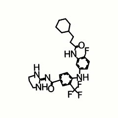 O=C(CCC1CCCCC1)Nc1cc(Nc2ccc(C(=O)N=C3NCCCN3)cc2C(F)(F)F)ccc1F